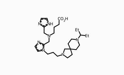 CCC(CC)N1CCC2(CCN(CCCn3ccnc3CN(CCCC(=O)O)Cc3ncc[nH]3)C2)CC1